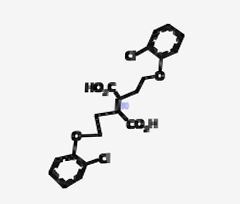 O=C(O)/C(CCOc1ccccc1Cl)=C(\CCOc1ccccc1Cl)C(=O)O